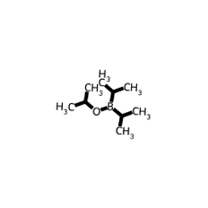 CC(C)OB(C(C)C)C(C)C